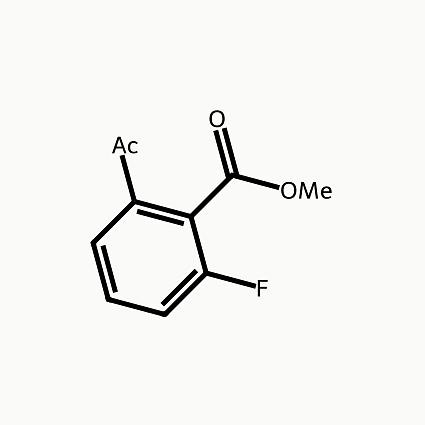 COC(=O)c1c(F)cccc1C(C)=O